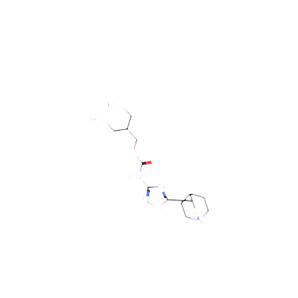 CCC(CC)COC(=O)Nc1noc(C2CN3CCC2CC3)n1